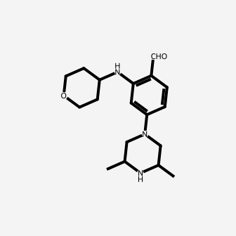 CC1CN(c2ccc(C=O)c(NC3CCOCC3)c2)CC(C)N1